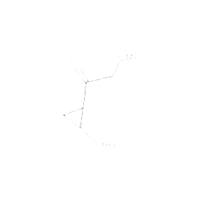 COCC(=O)C1CC1C=O